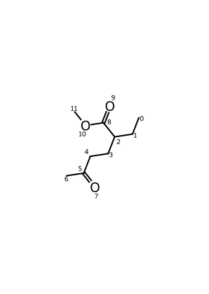 CCC(CCC(C)=O)C(=O)OC